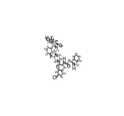 CCC(CC)CN(CC(c1ccccc1F)N1CCN(C(=O)C(Cc2ccc(Cl)cc2)NC(=O)CC2NCc3ccccc32)CC1)C(C)=O